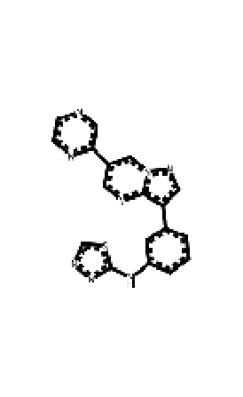 c1cc(Nc2nncs2)cc(-c2cnn3cc(-c4cnccn4)cnc23)c1